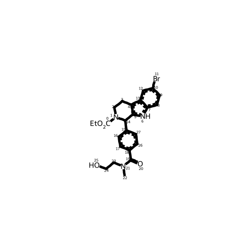 CCOC(=O)N1CCc2c([nH]c3ccc(Br)cc23)C1c1ccc(C(=O)N(C)CCO)cc1